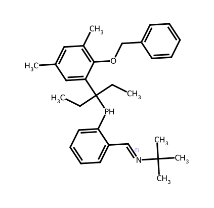 CCC(CC)(Pc1ccccc1/C=N/C(C)(C)C)c1cc(C)cc(C)c1OCc1ccccc1